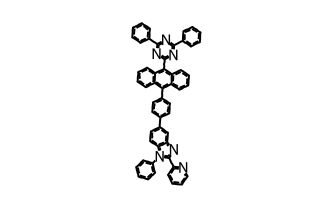 c1ccc(-c2nc(-c3ccccc3)nc(-c3c4ccccc4c(-c4ccc(-c5ccc6c(c5)nc(-c5ccccn5)n6-c5ccccc5)cc4)c4ccccc34)n2)cc1